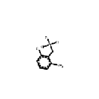 Cc1cccc(Cl)c1C[Si](Cl)(Cl)Cl